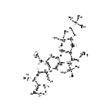 CCN(C(=O)NC(CCC(F)(F)F)C(F)(F)F)[C@@H](c1cc(-c2cn3ccnc3c(C)n2)c(OC)cn1)C(F)(F)F